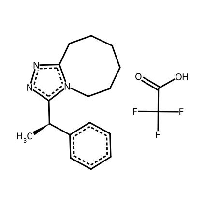 C[C@H](c1ccccc1)c1nnc2n1CCCCCC2.O=C(O)C(F)(F)F